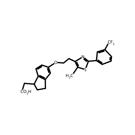 Cc1sc(-c2cccc(C(F)(F)F)c2)nc1CCOc1ccc2c(c1)CCC2CC(=O)O